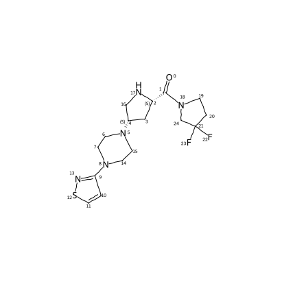 O=C([C@@H]1C[C@H](N2CCN(c3ccsn3)CC2)CN1)N1CCC(F)(F)C1